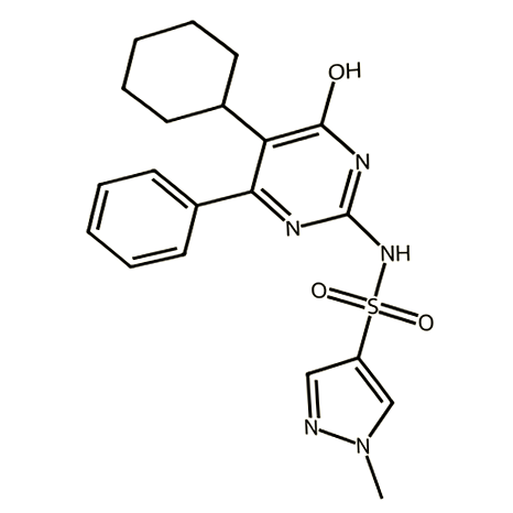 Cn1cc(S(=O)(=O)Nc2nc(O)c(C3CCCCC3)c(-c3ccccc3)n2)cn1